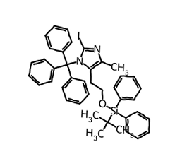 Cc1nc(I)n(C(c2ccccc2)(c2ccccc2)c2ccccc2)c1CCO[Si](c1ccccc1)(c1ccccc1)C(C)(C)C